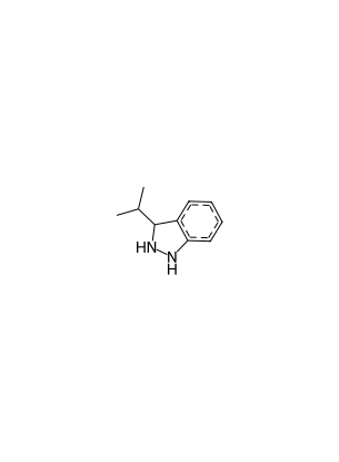 CC(C)C1NNc2ccccc21